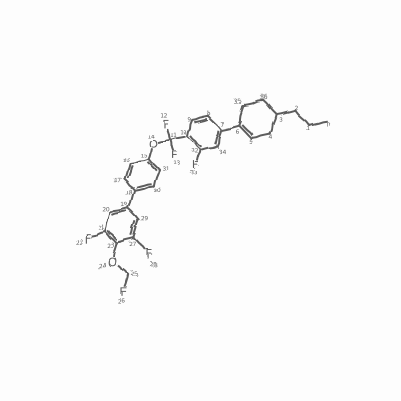 CCCC1CC=C(c2ccc(C(F)(F)Oc3ccc(-c4cc(F)c(OCF)c(F)c4)cc3)c(F)c2)CC1